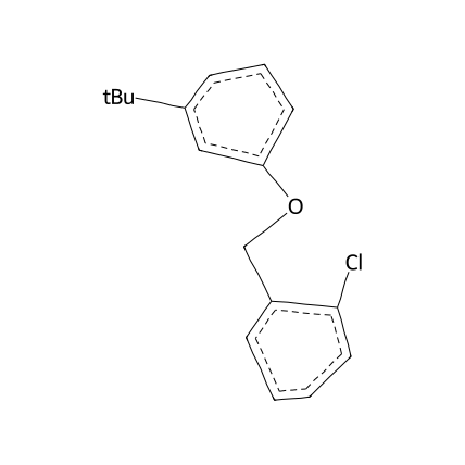 CC(C)(C)c1cccc(OCc2ccccc2Cl)c1